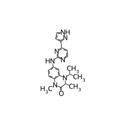 CC(C)N1c2cc(Nc3nccc(-c4cc[nH]n4)n3)ccc2N(C)C(=O)C1C